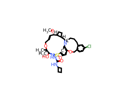 CO[C@H]1/C=C/COC(C)(C)C(O)N=[S@@](=O)(NC(=O)NC2CCC2)c2ccc3c(c2)N(CCCCc2cc(Cl)ccc2CO3)C[C@@H]2CC[C@H]21